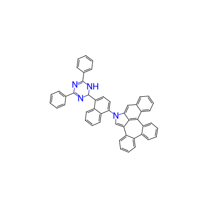 c1ccc(C2=NC(c3ccc(-n4cc5c6c(c7ccccc7cc64)-c4ccccc4-c4ccccc4-5)c4ccccc34)NC(c3ccccc3)=N2)cc1